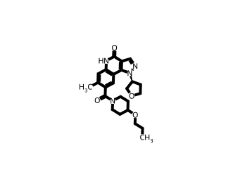 CCCOC1CCN(C(=O)c2cc3c(cc2C)[nH]c(=O)c2cnn([C@H]4CCOC4)c23)CC1